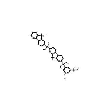 CCC(C)(C)c1cc(OC)cc(C(CC)(CC)c2ccc3c(c2)C(C)(C)c2cc(C(CC)(CC)c4ccc5c(c4)C(C)(C)c4ccccc4-5)ccc2-3)c1